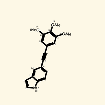 COc1cc(C#Cc2ccc3[nH]ccc3c2)cc(OC)c1OC